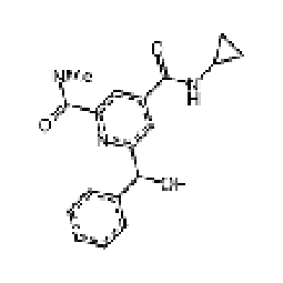 CNC(=O)c1cc(C(=O)NC2CC2)cc(C(O)c2ccccc2)n1